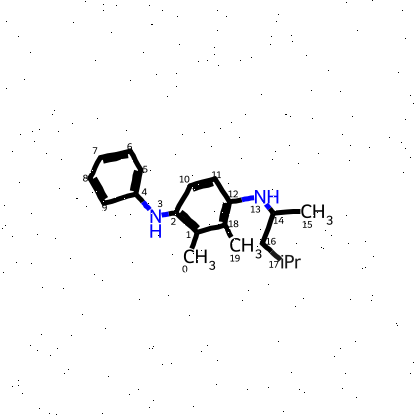 Cc1c(Nc2ccccc2)ccc(NC(C)CC(C)C)c1C